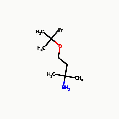 CC(C)C(C)(C)OCCC(C)(C)N